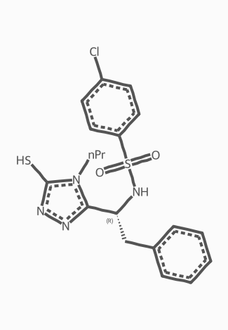 CCCn1c(S)nnc1[C@@H](Cc1ccccc1)NS(=O)(=O)c1ccc(Cl)cc1